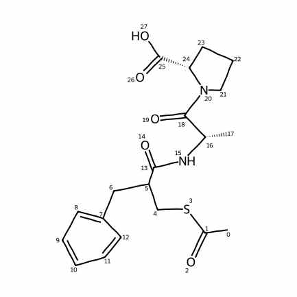 CC(=O)SCC(Cc1ccccc1)C(=O)N[C@@H](C)C(=O)N1CCC[C@H]1C(=O)O